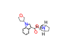 CN1[C@@H]2CC[C@H]1C[C@H](OC(=O)c1cn(C3CCOC3)c3ccccc13)C2